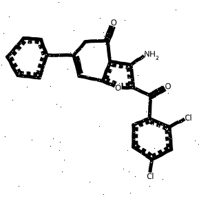 Nc1c(C(=O)c2ccc(Cl)cc2Cl)oc2c1C(=O)CC(c1ccccc1)=C2